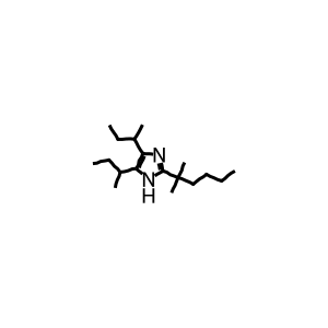 CCCCC(C)(C)c1nc(C(C)CC)c(C(C)CC)[nH]1